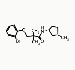 CN1CC[C@@H](NC(=O)C(C)(C)COc2ccccc2Br)C1